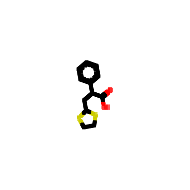 O=C(O)C(CC1SCCS1)c1ccccc1